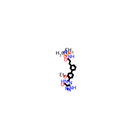 CCOc1cc(-c2cccc(CCC(=O)NS(=O)(=O)N(C)C)c2)ccc1-c1nc2[nH]nnc2c(=O)[nH]1